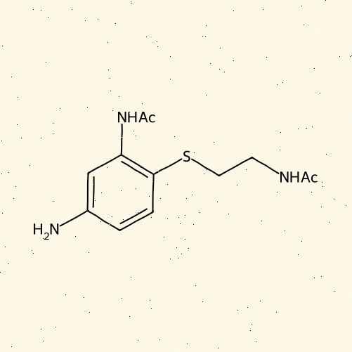 CC(=O)NCCSc1ccc(N)cc1NC(C)=O